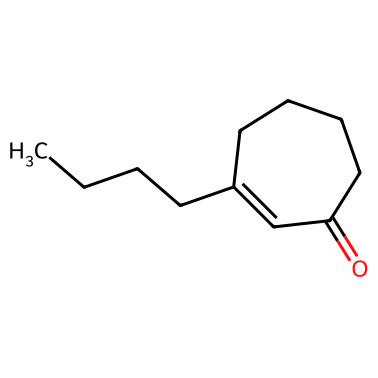 CCCCC1=CC(=O)CCCC1